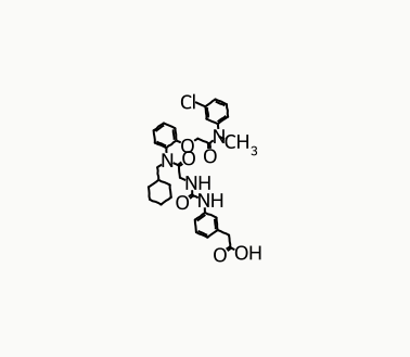 CN(C(=O)COc1ccccc1N(CC1CCCCC1)C(=O)CNC(=O)Nc1cccc(CC(=O)O)c1)c1cccc(Cl)c1